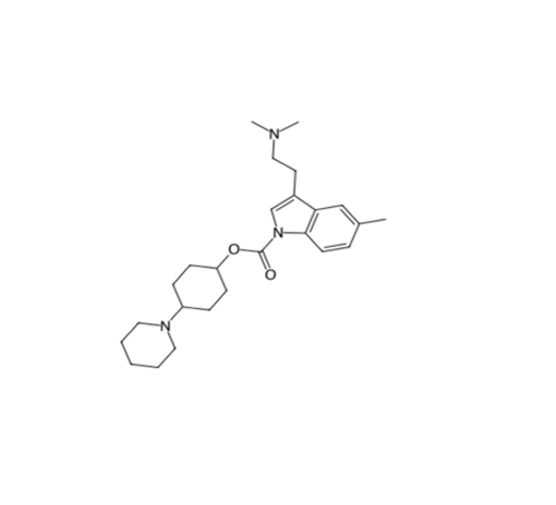 Cc1ccc2c(c1)c(CCN(C)C)cn2C(=O)OC1CCC(N2CCCCC2)CC1